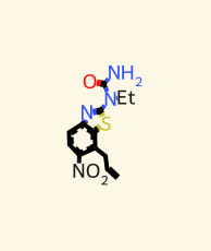 C=CCc1c([N+](=O)[O-])ccc2nc(N(CC)C(N)=O)sc12